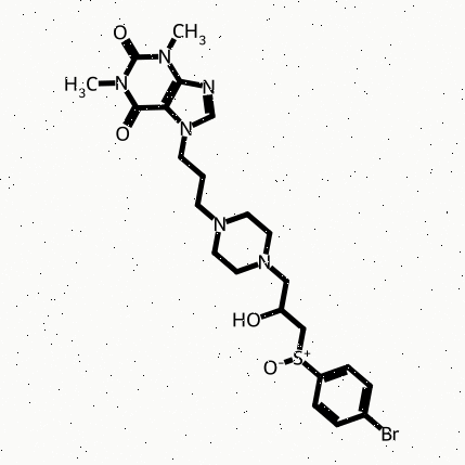 Cn1c(=O)c2c(ncn2CCCN2CCN(CC(O)C[S+]([O-])c3ccc(Br)cc3)CC2)n(C)c1=O